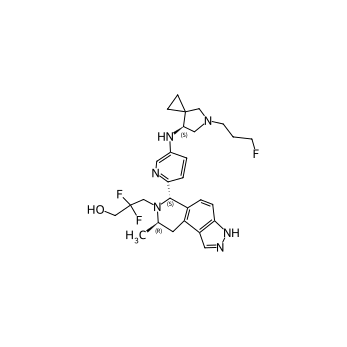 C[C@@H]1Cc2c(ccc3[nH]ncc23)[C@@H](c2ccc(N[C@@H]3CN(CCCF)CC34CC4)cn2)N1CC(F)(F)CO